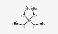 CCCC[O][Sb]([O]CCCC)([O]CCCC)[O]CCCC